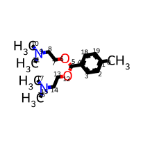 Cc1ccc(C(OCCN(C)C)OCCN(C)C)cc1